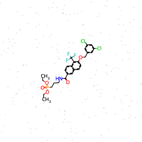 CCOP(=O)(CCCNC(=O)c1ccc2c(C(F)(F)F)c(OCc3cc(Cl)cc(Cl)c3)ccc2c1)OCC